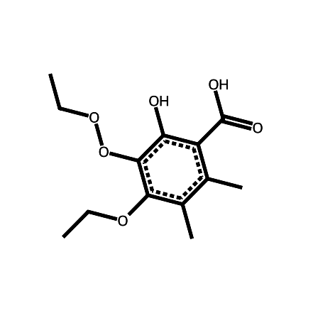 CCOOc1c(O)c(C(=O)O)c(C)c(C)c1OCC